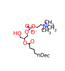 CCCCCCCCCCCCCC(=O)O[C@@H](CO)COP(=O)([O-])OCC[N+](C)(C)C